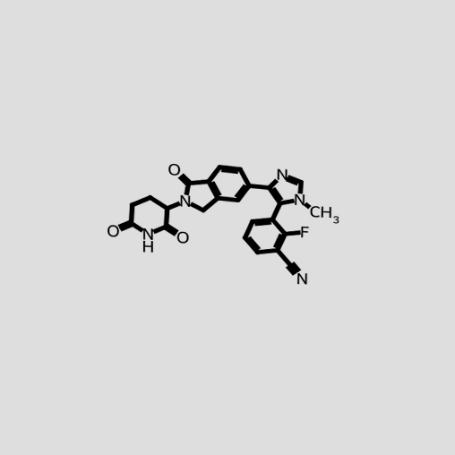 Cn1cnc(-c2ccc3c(c2)CN(C2CCC(=O)NC2=O)C3=O)c1-c1cccc(C#N)c1F